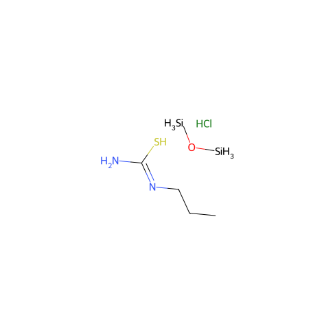 CCCN=C(N)S.Cl.[SiH3]O[SiH3]